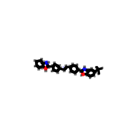 CC(C)(C)c1ccc2oc(-c3ccc(/C=C/c4ccc(-c5nc6ccccc6o5)cc4)cc3)nc2c1